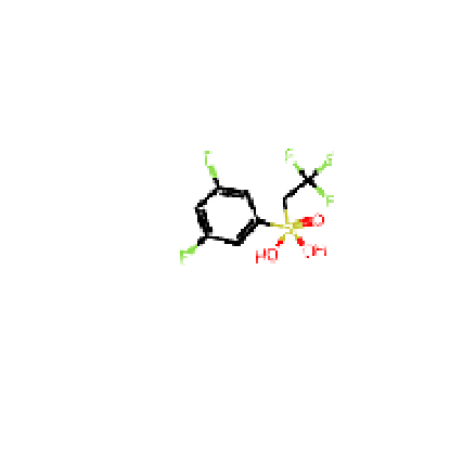 O=S(O)(O)(CC(F)(F)F)c1cc(F)cc(F)c1